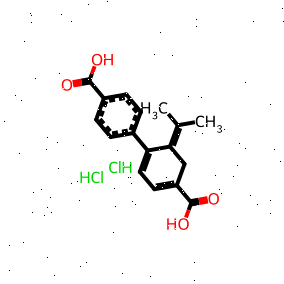 CC(C)=C1CC(C(=O)O)=CC=C1c1ccc(C(=O)O)cc1.Cl.Cl